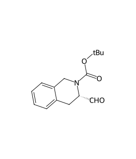 CC(C)(C)OC(=O)N1Cc2ccccc2C[C@H]1C=O